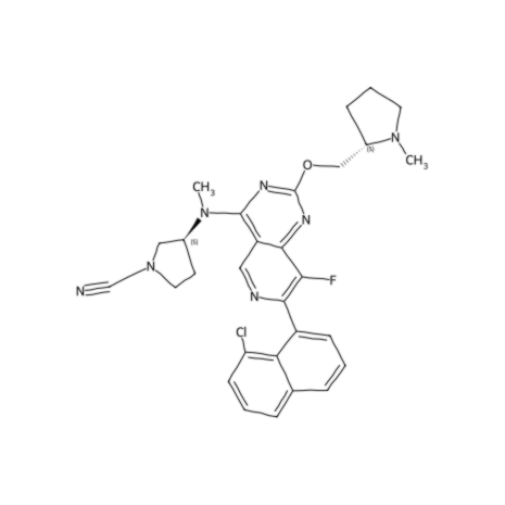 CN1CCC[C@H]1COc1nc(N(C)[C@H]2CCN(C#N)C2)c2cnc(-c3cccc4cccc(Cl)c34)c(F)c2n1